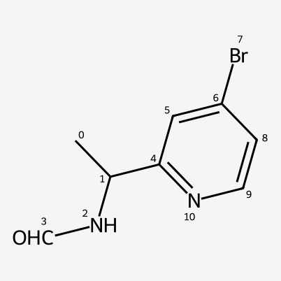 CC(NC=O)c1cc(Br)ccn1